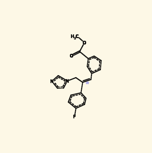 COC(=O)c1cccc(/C=C(\Cn2ccnc2)c2ccc(F)cc2)c1